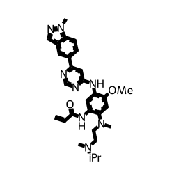 C=CC(=O)Nc1cc(Nc2cc(-c3ccc4c(cnn4C)c3)ncn2)c(OC)cc1N(C)CCN(C)C(C)C